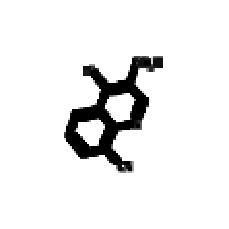 N#Cc1cccc2c(Cl)c(C(=O)O)cnc12